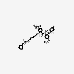 COc1ccc(NC(=O)c2ccc(S(C)(=O)=O)cc2NCCCCCCCNC(=O)OCc2ccccc2)c(C(=O)Nc2ccc(Cl)cn2)c1